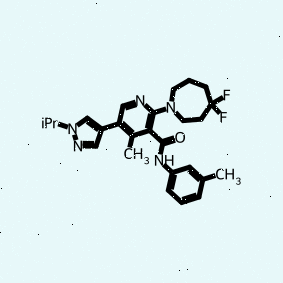 Cc1cccc(NC(=O)c2c(N3CCCC(F)(F)CC3)ncc(-c3cnn(C(C)C)c3)c2C)c1